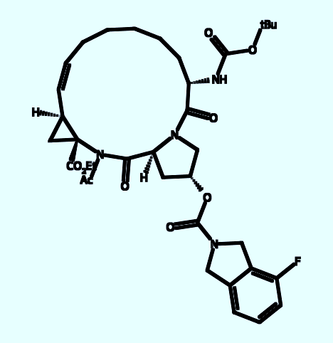 CCOC(=O)[C@@]12C[C@H]1/C=C\CCCCC[C@H](NC(=O)OC(C)(C)C)C(=O)N1C[C@H](OC(=O)N3Cc4cccc(F)c4C3)C[C@H]1C(=O)N2C(C)=O